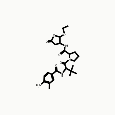 CCOC1OC(=O)CC1NC(=O)C1CCCN1C(=O)C(NC(=O)c1ccc(N)c(C)c1)C(C)(C)C